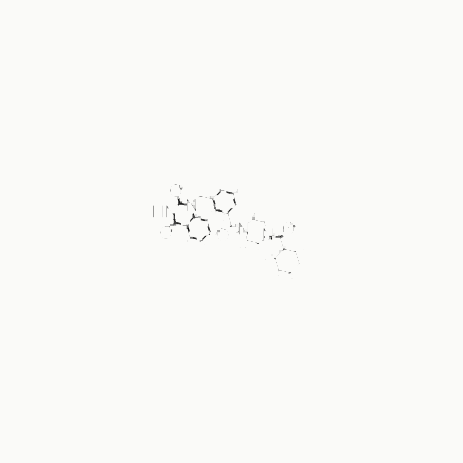 O=C(c1cccc(Cn2c(=O)[nH]c(=O)c3ccccc32)c1)N1CCN(C(=O)C2CCCCC2)CC1